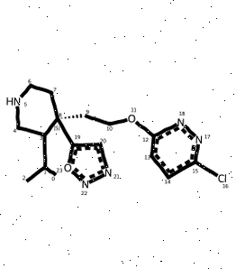 CC(C)C1CNCC[C@@]1(CCOc1ccc(Cl)nn1)c1cnno1